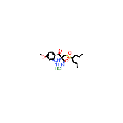 CCCC(CCC)S(=O)(=O)CC(N)(C(N)=O)C(=O)c1ccc(OC)cc1.Cl